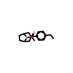 CCc1ccc(C2CC3CCC(C2)N3C(C)=O)cc1